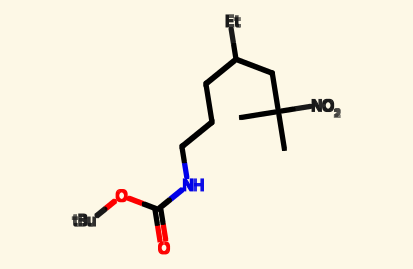 CCC(CCCNC(=O)OC(C)(C)C)CC(C)(C)[N+](=O)[O-]